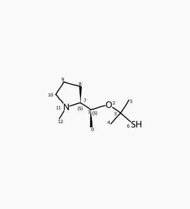 C[C@H](OC(C)(C)S)[C@@H]1CCCN1C